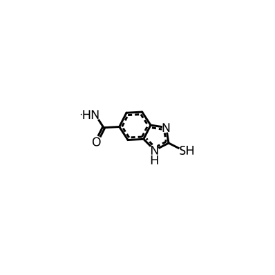 [NH]C(=O)c1ccc2nc(S)[nH]c2c1